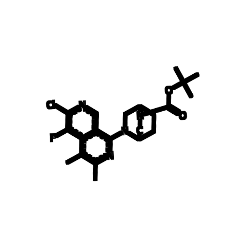 Cc1nc(N2CC3CCC2CN3C(=O)OC(C)(C)C)c2cnc(Cl)c(F)c2c1C